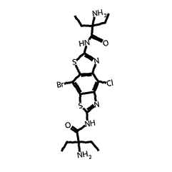 CCC(N)(CC)C(=O)Nc1nc2c(Cl)c3nc(NC(=O)C(N)(CC)CC)sc3c(Br)c2s1